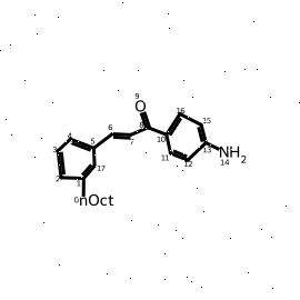 CCCCCCCCc1cccc(C=CC(=O)c2ccc(N)cc2)c1